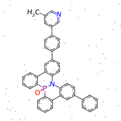 Cc1cncc(-c2ccc(-c3ccc4c(c3)-c3ccccc3P3(=O)c5ccccc5-c5cc(-c6ccccc6)ccc5N43)cc2)c1